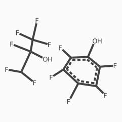 OC(F)(C(F)F)C(F)(F)F.Oc1c(F)c(F)c(F)c(F)c1F